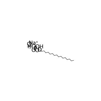 CC(C)(C)[O-].CCCCCCCCCCCCCCCCOOP(=O)(O)O.[Na+]